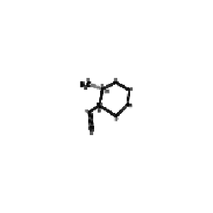 C[C@@H]1CCCCN1C=O